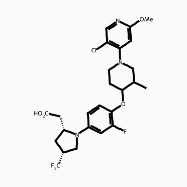 COc1cc(N2CCC(Oc3ccc(N4C[C@H](C(F)(F)F)C[C@@H]4CC(=O)O)cc3F)C(C)C2)c(Cl)cn1